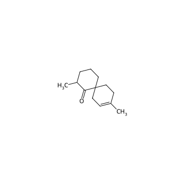 CC1=CCC2(CCCC(C)C2=O)CC1